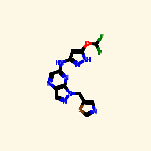 FC(F)Oc1cc(Nc2cnc3cnn(Cc4cncs4)c3n2)n[nH]1